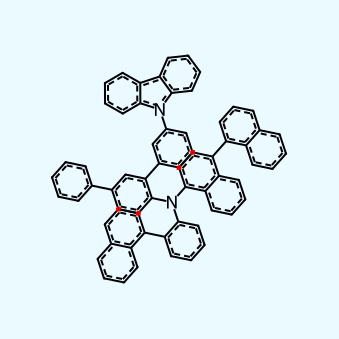 c1ccc(-c2ccc(N(c3ccccc3-c3cccc4ccccc34)c3ccc(-c4cccc5ccccc45)c4ccccc34)c(-c3cccc(-n4c5ccccc5c5ccccc54)c3)c2)cc1